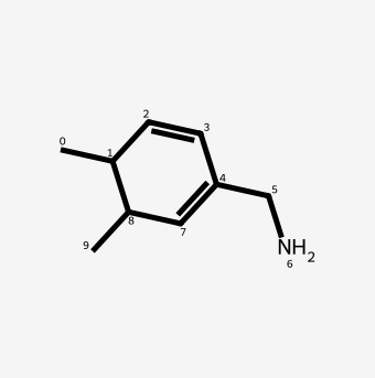 CC1C=CC(CN)=CC1C